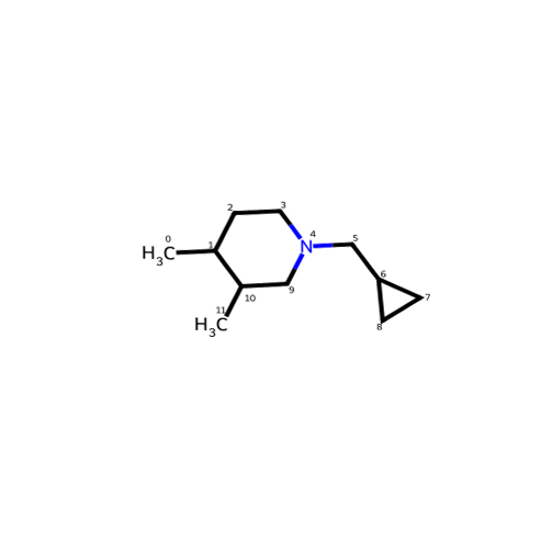 CC1CCN(CC2CC2)CC1C